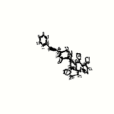 Cc1cc(C#Cc2ccccc2)cnc1NC(=O)c1c(Cl)cnn1C1CCOC1